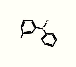 Cc1cccc([S+]([O-])c2ccccc2)c1